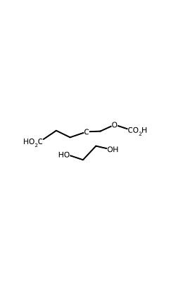 O=C(O)CCCCOC(=O)O.OCCO